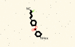 CCCCCC[C@H]1CC[C@H](C(=O)O[C@H]2CC[C@H](C=CC=C(F)C#N)CC2)CC1